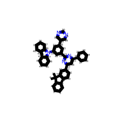 CC1(C)c2ccccc2-c2ccc(-c3cc(-c4ccccc4)nc(-c4cc(-c5cncnc5)cc(-n5c6ccccc6c6ccccc65)c4)n3)cc21